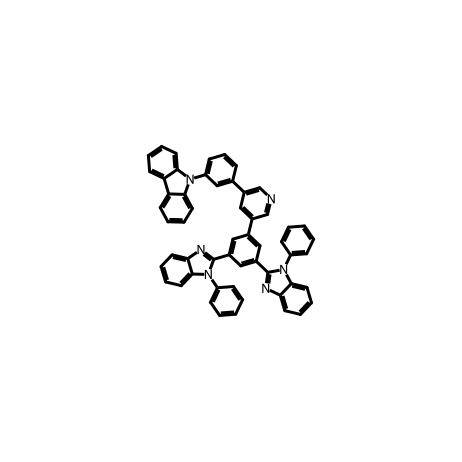 c1ccc(-n2c(-c3cc(-c4cncc(-c5cccc(-n6c7ccccc7c7ccccc76)c5)c4)cc(-c4nc5ccccc5n4-c4ccccc4)c3)nc3ccccc32)cc1